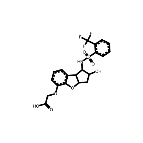 O=C(O)COc1cccc2c1OC1CC(O)C(NS(=O)(=O)c3ccccc3C(F)(F)F)C21